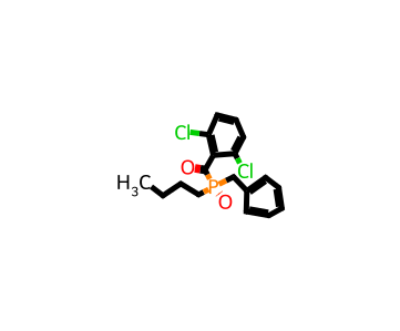 CCCCP(=O)(Cc1ccccc1)C(=O)c1c(Cl)cccc1Cl